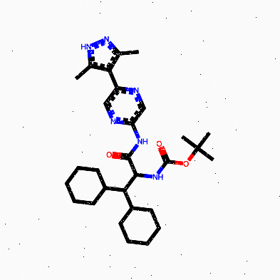 Cc1n[nH]c(C)c1-c1cnc(NC(=O)C(NC(=O)OC(C)(C)C)C(C2CCCCC2)C2CCCCC2)cn1